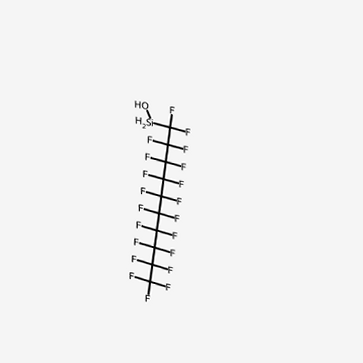 O[SiH2]C(F)(F)C(F)(F)C(F)(F)C(F)(F)C(F)(F)C(F)(F)C(F)(F)C(F)(F)C(F)(F)C(F)(F)F